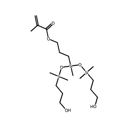 C=C(C)C(=O)OCCC[Si](C)(O[Si](C)(C)CCCO)O[Si](C)(C)CCCO